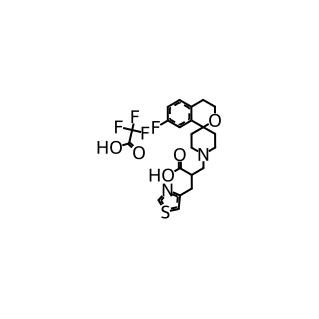 O=C(O)C(Cc1cscn1)CN1CCC2(CC1)OCCc1ccc(F)cc12.O=C(O)C(F)(F)F